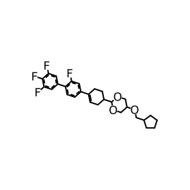 Fc1cc(C2=CCC(C3OCC(OCC4CCCC4)CO3)CC2)ccc1-c1cc(F)c(F)c(F)c1